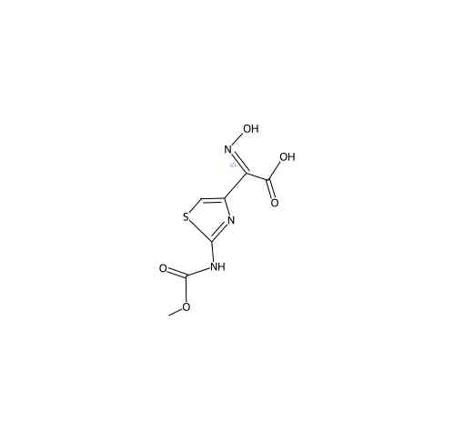 COC(=O)Nc1nc(/C(=N/O)C(=O)O)cs1